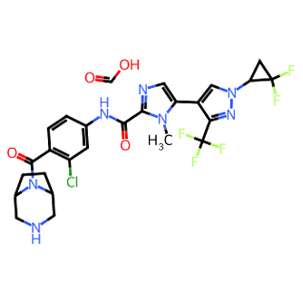 Cn1c(-c2cn(C3CC3(F)F)nc2C(F)(F)F)cnc1C(=O)Nc1ccc(C(=O)N2C3CCC2CNC3)c(Cl)c1.O=CO